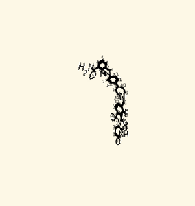 NC(=O)c1cccc2cn(-c3ccc(C4CCN(Cc5ccc6c(c5F)C(=O)N(C5CCC(=O)NC5=O)C6=O)CC4)cc3)nc12